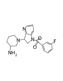 NC1CCCN(C2CN(S(=O)(=O)c3cccc(F)c3)c3cccnc32)C1